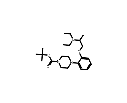 CCN(CC)C(C)COc1ccccc1N1CCN(C(=O)OC(C)(C)C)CC1